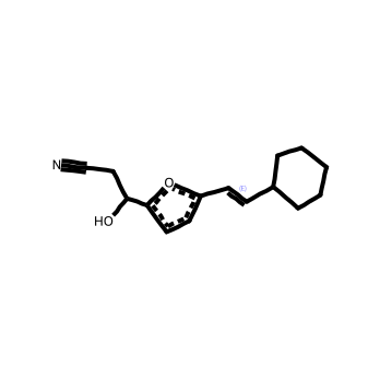 N#CCC(O)c1ccc(/C=C/C2CCCCC2)o1